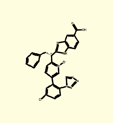 O=C(O)c1ccc2[nH]c([C@@H](Cc3ccccc3)c3ccc(-c4cc(Cl)ccc4-n4cnnn4)c[n+]3[O-])nc2c1